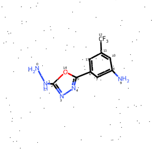 NNc1nnc(-c2cc(N)cc(C(F)(F)F)c2)o1